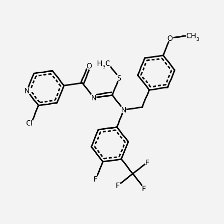 COc1ccc(CN(/C(=N/C(=O)c2ccnc(Cl)c2)SC)c2ccc(F)c(C(F)(F)F)c2)cc1